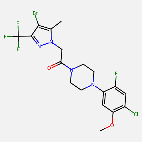 COc1cc(N2CCN(C(=O)Cn3nc(C(F)(F)F)c(Br)c3C)CC2)c(F)cc1Cl